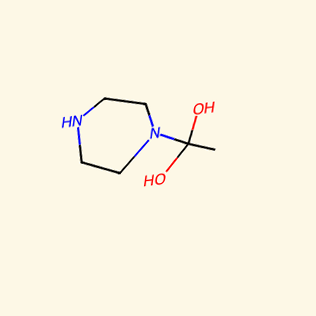 CC(O)(O)N1CCNCC1